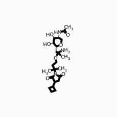 CC(=O)N[C@@H]1CO[C@H](CC(C)(N)OCCC(C)(C)N2C(=O)CC(C3CCC3)C2=O)[C@H](O)[C@@H]1O